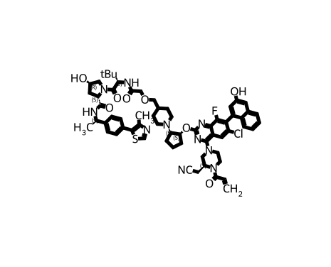 C=CC(=O)N1CCN(c2nc(O[C@H]3CCC[C@@H]3N3CCC(COCC(=O)N[C@H](C(=O)N4C[C@H](O)C[C@H]4C(=O)N[C@@H](C)c4ccc(-c5scnc5C)cc4)C(C)(C)C)CC3)nc3c(F)c(-c4cc(O)cc5ccccc45)c(Cl)cc23)C[C@@H]1CC#N